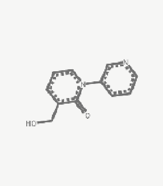 O=c1c(CO)cccn1-c1cccnc1